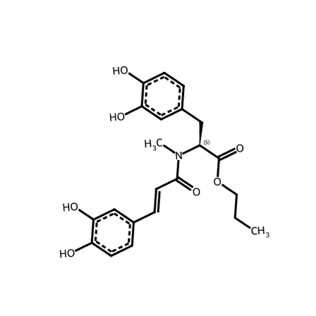 CCCOC(=O)[C@H](Cc1ccc(O)c(O)c1)N(C)C(=O)C=Cc1ccc(O)c(O)c1